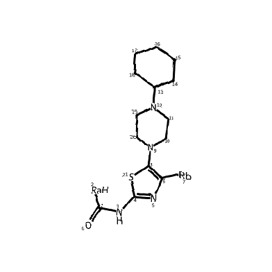 O=[C]([RaH])Nc1n[c]([Rb])c(N2CCN(C3CCCCC3)CC2)s1